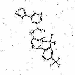 Cc1c(NC(=O)c2cncc(-c3ccccn3)c2)cnn1-c1ccc(C(F)(F)F)cc1C(F)(F)F